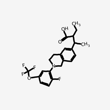 CCC(C(=O)O)C(C)c1ccc2c(c1)CCN(c1cc(OC(F)(F)F)ccc1F)C2